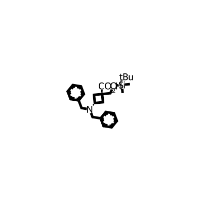 CC(C)(C)[Si](C)(C)OC[C@]1(C(=O)O)C[C@H](N(Cc2ccccc2)Cc2ccccc2)C1